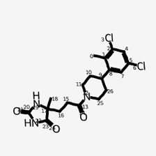 Cc1c(Cl)cc(Cl)cc1C1CCN(C(=O)CCC2(C)NC(=O)NC2=O)CC1